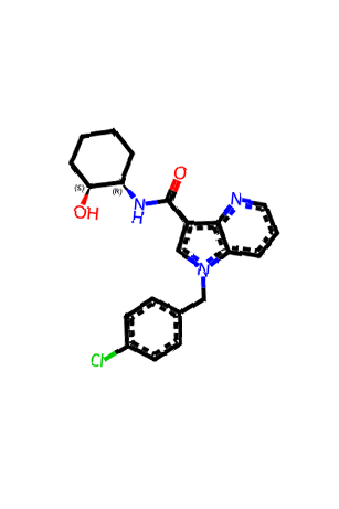 O=C(N[C@@H]1CCCC[C@@H]1O)c1cn(Cc2ccc(Cl)cc2)c2cccnc12